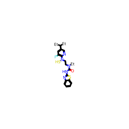 CCC(CC)c1cnc(N(S)CCN(CC)C(=O)Nc2nc3ccccc3s2)c(F)c1